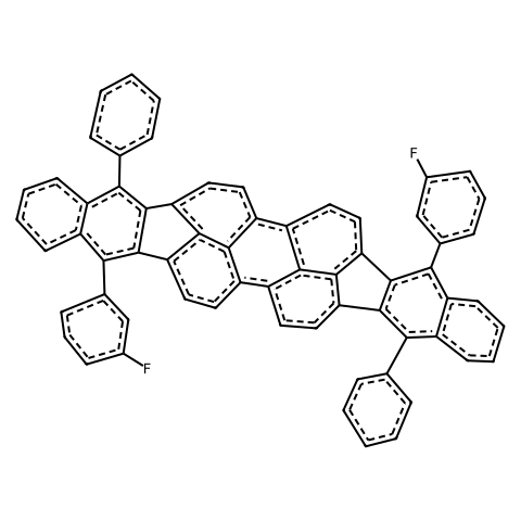 Fc1cccc(-c2c3c(c(-c4ccccc4)c4ccccc24)-c2ccc4c5ccc6c7c(ccc(c8ccc-3c2c48)c75)-c2c-6c(-c3cccc(F)c3)c3ccccc3c2-c2ccccc2)c1